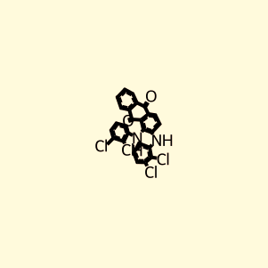 O=C1c2ccccc2C(=O)c2c1ccc(Nc1cccc(Cl)c1Cl)c2Nc1cccc(Cl)c1Cl